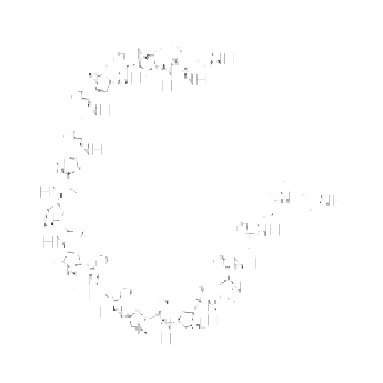 C=C(Nc1cc(C(=O)Nc2cc(C(=O)NCCC(=O)Nc3cc(C(=O)Nc4cc(C(=O)NC5C=C(C(=O)NCCC(=O)NCCCN(C)CCCN)N(C)C5)n(C)c4)n(C)c3)n(C)c2)n(C)c1)c1cc(NC(=O)CCNC(=O)c2cc(NC(=O)c3cc(NC(=O)C(N)CCN)cn3C)cn2C)cn1C